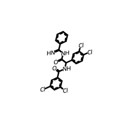 N=C(NC(=O)C(NC(=O)c1cc(Cl)cc(Cl)c1)c1ccc(Cl)c(Cl)c1)c1ccccc1